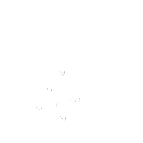 CCC(C)(C)CC(BOP(=O)(O)O)C(C)(C)C